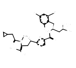 CC(=O)O[C@H](CC(=C(C)C)N(C)C(=O)CC1CC1)c1nc(C(=O)N[C@@H](Cc2c(F)cc(F)cc2F)C[C@H](C)C(=O)O)cs1